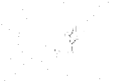 COCCOc1ccc(C(=O)C(Br)CC(C)(C)C)cc1F